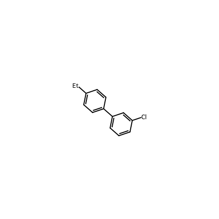 [CH2]Cc1ccc(-c2cccc(Cl)c2)cc1